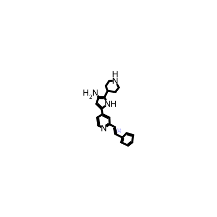 Nc1cc(-c2ccnc(/C=C/c3ccccc3)c2)[nH]c1C1CCNCC1